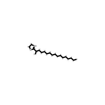 CCCCCCCCCCCCCCCC(C)C1=NCCO1